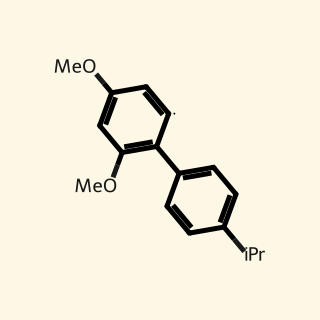 COc1c[c]c(-c2ccc(C(C)C)cc2)c(OC)c1